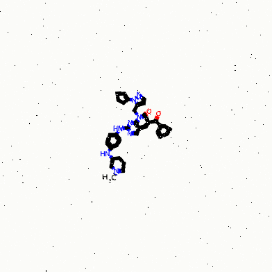 CN1CCCC(Nc2ccc(Nc3ncc4cc(C(=O)c5ccccc5)c(=O)n(Cc5ccnn5C5=CCCC5)c4n3)cc2)C1